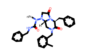 CCCN(C(=O)NCc1ccccc1)N1CC(=O)N2[C@@H](Cc3ccccc3)C(=O)N(Cc3ccccc3C)C[C@@H]21